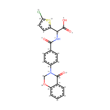 O=C(NC(C(=O)O)c1ccc(Cl)s1)c1ccc(N2COc3ccccc3C2=O)cc1